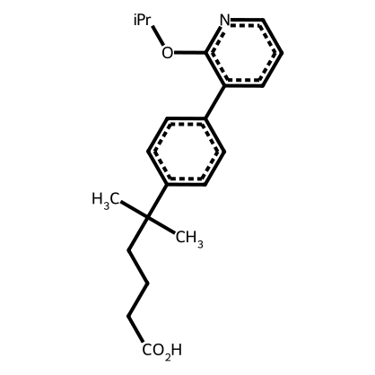 CC(C)Oc1ncccc1-c1ccc(C(C)(C)CCCC(=O)O)cc1